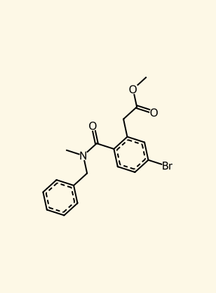 COC(=O)Cc1cc(Br)ccc1C(=O)N(C)Cc1ccccc1